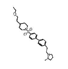 CCOCCC1CCN(S(=O)(=O)c2ccc(-c3ccc(CCN4CCC[C@H]4C)cc3)cc2)CC1